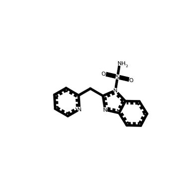 NS(=O)(=O)n1c(Cc2ccccn2)nc2ccccc21